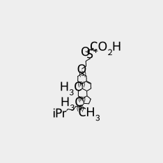 CC(C)CCC[C@@H](C)C1CCC2C3CC=C4C[C@@H](OCCC[S+]([O-])CC(=O)O)CC[C@]4(C)C3CC[C@@]21C